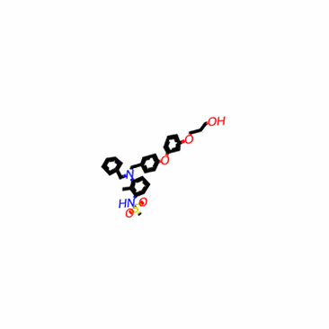 Cc1c(NS(C)(=O)=O)cccc1N(Cc1ccccc1)Cc1ccc(Oc2cccc(OCCCO)c2)cc1